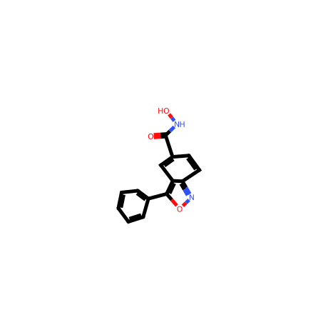 O=C(NO)c1ccc2noc(-c3ccccc3)c2c1